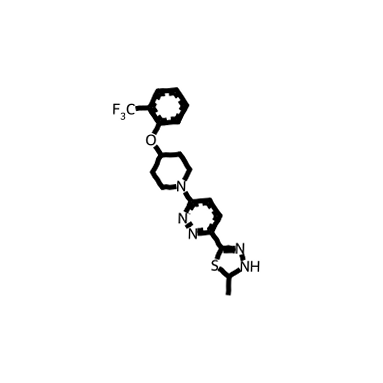 CC1NN=C(c2ccc(N3CCC(Oc4ccccc4C(F)(F)F)CC3)nn2)S1